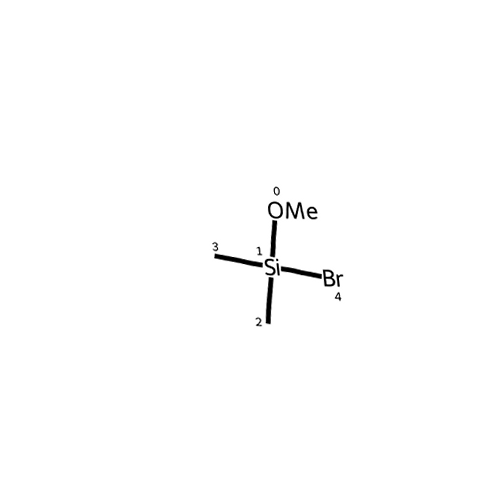 CO[Si](C)(C)Br